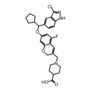 O=C(O)C1CCN(CC2=Cc3c(F)cc(OC(c4ccc5[nH]nc(Cl)c5c4)C4CCCC4)cc3OC2)CC1